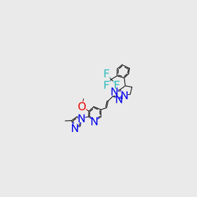 COc1cc(/C=C/c2nc3n(n2)CCC3c2ccccc2C(F)(F)F)cnc1-n1cnc(C)c1